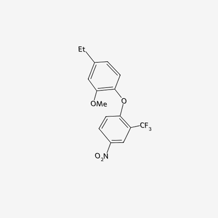 CCc1ccc(Oc2ccc([N+](=O)[O-])cc2C(F)(F)F)c(OC)c1